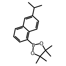 CC(C)c1ccc2c(B3OC(C)(C)C(C)(C)O3)cccc2c1